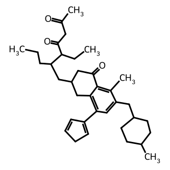 CCCC(CC1CC(=O)c2c(C)c(CC3CCC(C)CC3)cc(C3=CCC=C3)c2C1)C(CC)C(=O)CC(C)=O